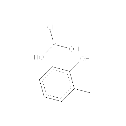 Cc1ccccc1O.OP(O)Cl